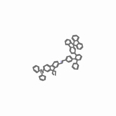 CCC1(CC)c2cc(/C=C/c3ccc(-c4c(-c5ccccc5)cccc4-c4ccc5c(c4)C4(c6ccccc6-c6ccccc64)c4ccccc4-5)cc3)ccc2-c2ccc(N(c3ccccc3)c3ccccc3)cc21